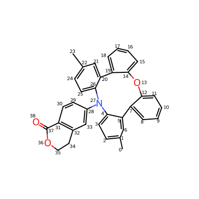 Cc1ccc2c(c1)-c1ccccc1Oc1ccccc1-c1cc(C)ccc1N2c1ccc2c(c1)CCOC2=O